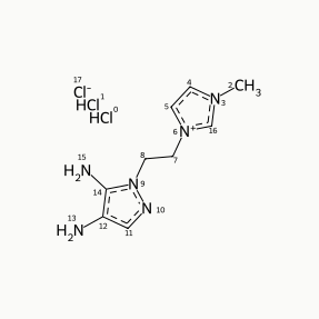 Cl.Cl.Cn1cc[n+](CCn2ncc(N)c2N)c1.[Cl-]